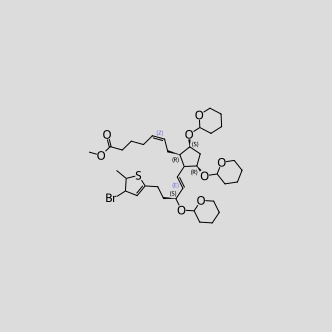 COC(=O)CCC/C=C\C[C@@H]1C(/C=C/[C@H](CCC2=CC(Br)C(C)S2)OC2CCCCO2)[C@H](OC2CCCCO2)C[C@@H]1OC1CCCCO1